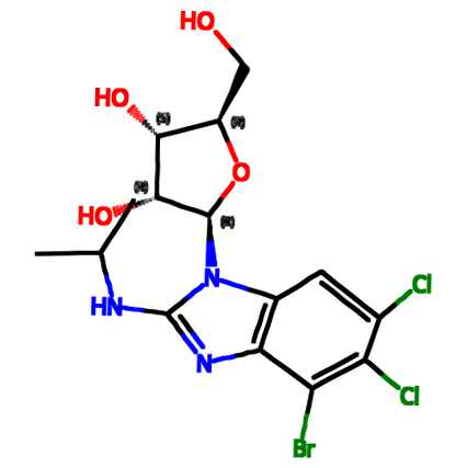 CC(C)Nc1nc2c(Br)c(Cl)c(Cl)cc2n1[C@@H]1O[C@H](CO)[C@@H](O)[C@H]1O